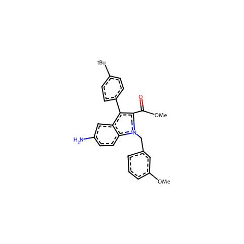 COC(=O)c1c(-c2ccc(C(C)(C)C)cc2)c2cc(N)ccc2n1Cc1cccc(OC)c1